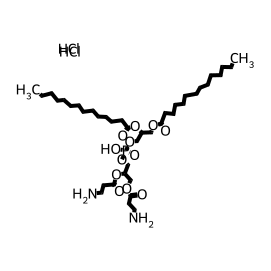 CCCCCCCCCCCCCC(=O)OCC(COP(=O)(O)OCC(COC(=O)CCN)OC(=O)CCN)OC(=O)CCCCCCCCCCCCC.Cl.Cl